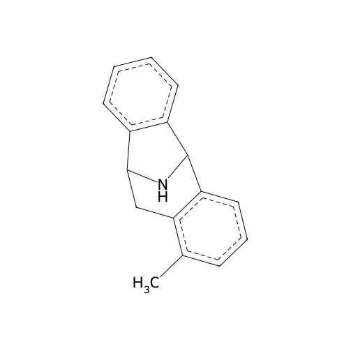 Cc1cccc2c1CC1NC2c2ccccc21